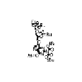 CCOP(=O)(COCC(COn1cnc2c(OC)nc(N(C(=O)OC(C)(C)C)C(=O)OC(C)(C)C)nc21)O[Si](C)(C)C(C)(C)C)OCC